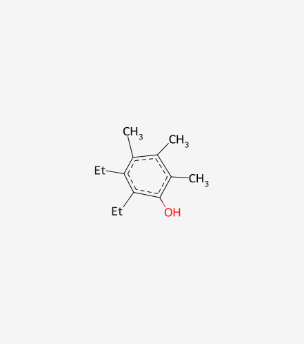 CCc1c(C)c(C)c(C)c(O)c1CC